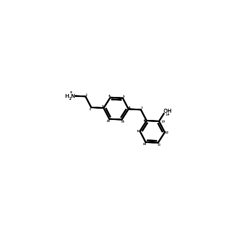 NCCc1ccc(Cc2ccccc2O)cc1